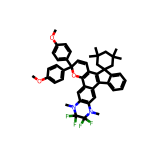 COc1ccc(C2(c3ccc(OC)cc3)C=Cc3c4c(c5cc6c(cc5c3O2)N(C)C(F)(F)C(F)(F)N6C)-c2ccccc2C42CC(C)(C)CC(C)(C)C2)cc1